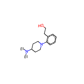 CCN(CC)C1CCN(c2ccccc2CCO)CC1